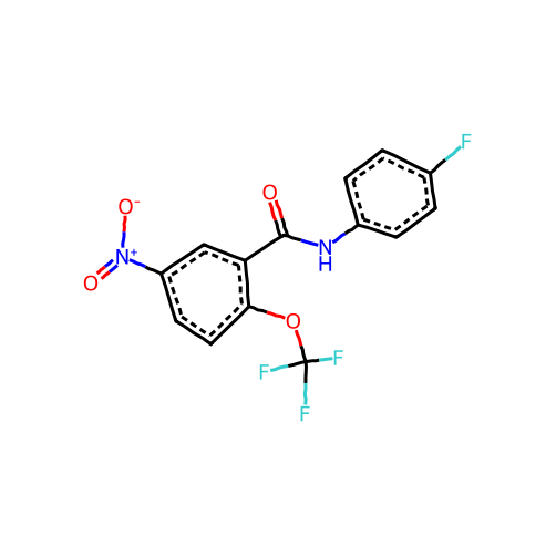 O=C(Nc1ccc(F)cc1)c1cc([N+](=O)[O-])ccc1OC(F)(F)F